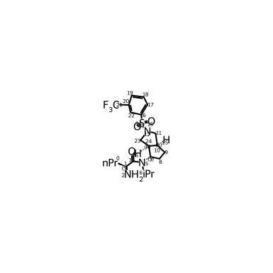 CCC[C@H](N)C(=O)N(C(C)C)[C@H]1CC[C@@H]2CN(S(=O)(=O)c3cccc(C(F)(F)F)c3)C[C@@H]21